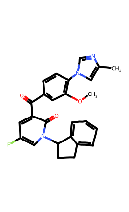 COc1cc(C(=O)c2cc(F)cn(C3CCc4ccccc43)c2=O)ccc1-n1cnc(C)c1